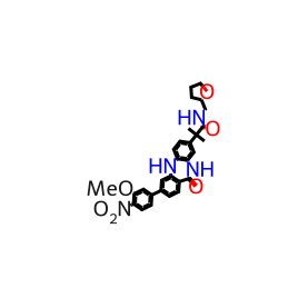 COc1cc(-c2ccc3c(c2)Nc2ccc(C(C)(C)C(=O)NCC4CCCO4)cc2NC3=O)ccc1[N+](=O)[O-]